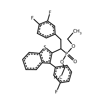 CCOP(=O)(OCC)C(Cc1ccc(F)c(F)c1)c1sc2ccccc2c1-c1cccc(F)c1